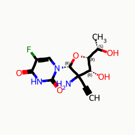 C#CC1(N)[C@@H](O)[C@@H]([C@H](C)O)O[C@H]1n1cc(F)c(=O)[nH]c1=O